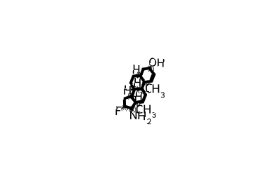 C[C@]12C=C[C@H](O)C[C@H]1CC[C@@H]1[C@@H]2CC[C@]2(C)[C@@H](N)[C@H](F)C[C@@H]12